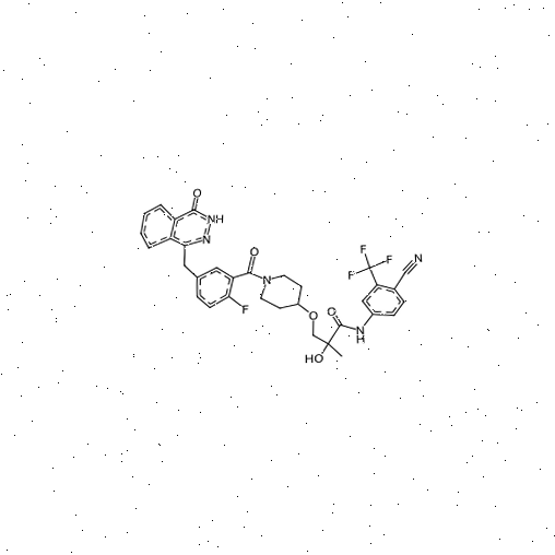 CC(O)(COC1CCN(C(=O)c2cc(Cc3n[nH]c(=O)c4ccccc34)ccc2F)CC1)C(=O)Nc1ccc(C#N)c(C(F)(F)F)c1